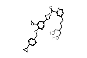 COc1cc(C2CN(C(=O)c3cc(CCCC(CO)CO)ccn3)C2)ccc1OCc1ccc(C2CC2)cc1